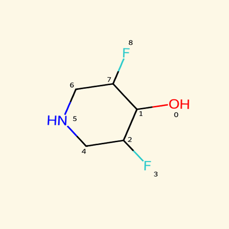 OC1C(F)CNCC1F